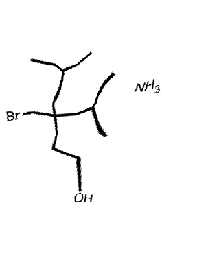 CC(C)C(Br)(CCO)C(C)C.N